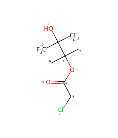 CC(C)(OC(=O)CCl)C(O)(C(F)(F)F)C(F)(F)F